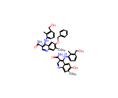 COc1cc2ncc(C(N)=O)c(Nc3cccc(CO)c3C)c2cc1O.COc1cc2ncc(C(N)=O)c(Nc3cccc(CO)c3C)c2cc1OCc1ccccc1